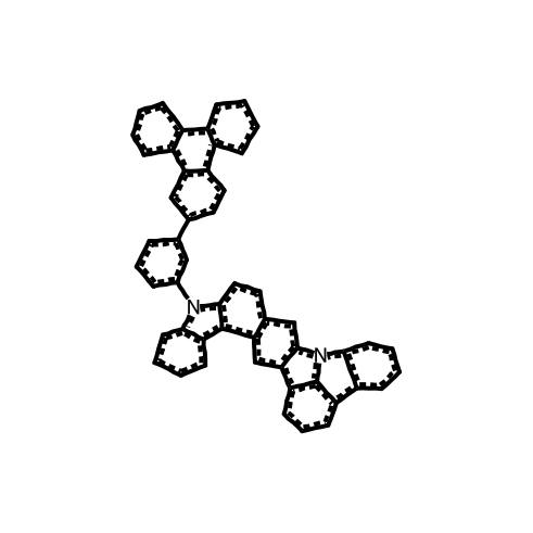 c1cc(-c2ccc3c4ccccc4c4ccccc4c3c2)cc(-n2c3ccccc3c3c4cc5c6cccc7c8ccccc8n(c5cc4ccc32)c76)c1